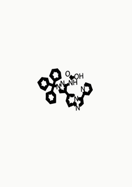 O=C(O)Nc1nn(C(c2ccccc2)(c2ccccc2)c2ccccc2)cc1-c1ccc2ncc(-c3ccccn3)n2c1